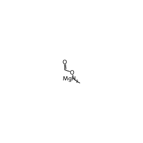 CCOC=O.[MgH2]